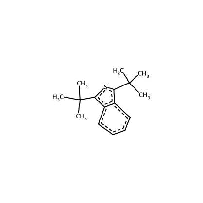 CC(C)(C)c1sc(C(C)(C)C)c2ccccc12